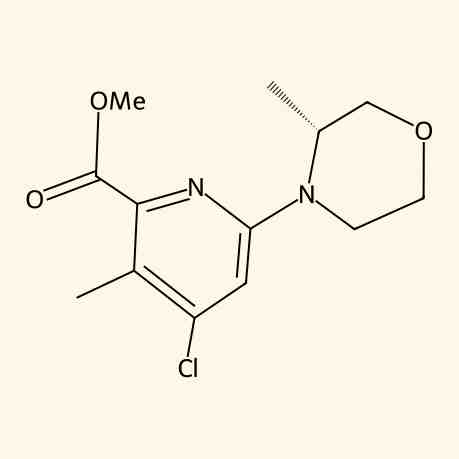 COC(=O)c1nc(N2CCOC[C@H]2C)cc(Cl)c1C